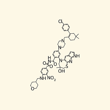 CC1(C)CCC(CN2CCN(c3ccc(C(=O)NS(=O)(=O)c4ccc(NCC5CCOCC5)c([N+](=O)[O-])c4)c(N4CC(C)(O)CSc5nc6[nH]ccc6cc54)c3)CC2)=C(c2ccc(Cl)cc2)C1